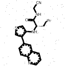 CC(C)C[C@H](Nc1cscc1-c1ccc2ncccc2c1)C(=O)NCC#N